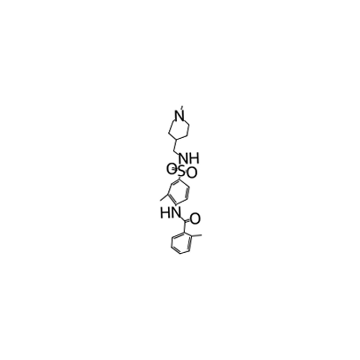 Cc1cc(S(=O)(=O)NCC2CCN(C)CC2)ccc1NC(=O)c1ccccc1C